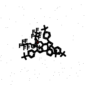 CCC/C(=C1/N=C(c2ccc(C(C)(C)C)cc2)C=C1c1ccc(C(C)(C)C)cc1)c1c(-c2ccc(C(C)(C)C)cc2)cc(-c2ccc(C(C)(C)C)cc2)n1B(OCC(F)(F)C(F)(F)F)OCC(F)(F)C(F)(F)F